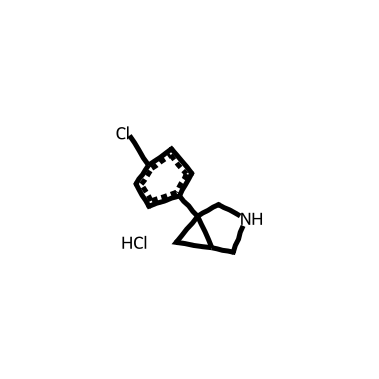 Cl.Clc1ccc(C23CNCC2C3)cc1